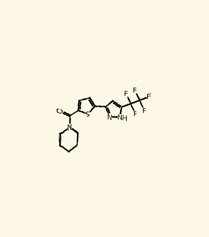 O=C(c1ccc(-c2cc(C(F)(F)C(F)(F)F)[nH]n2)s1)N1CCCCC1